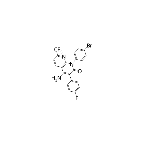 Nc1c(-c2ccc(F)cc2)c(=O)n(-c2ccc(Br)cc2)c2nc(C(F)(F)F)ccc12